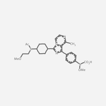 COCCN(C(C)=O)C1CCC(c2nc(-c3ccc(N(OC)C(=O)O)cc3)c3c(C)nccn23)CC1